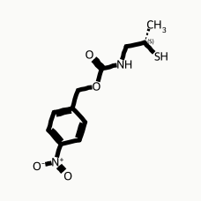 C[C@H](S)CNC(=O)OCc1ccc([N+](=O)[O-])cc1